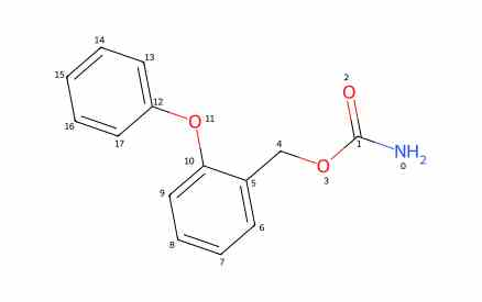 NC(=O)OCc1ccccc1Oc1ccccc1